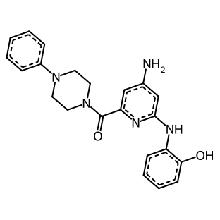 Nc1cc(Nc2ccccc2O)nc(C(=O)N2CCN(c3ccccc3)CC2)c1